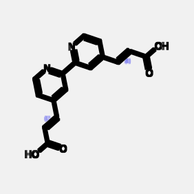 O=C(O)/C=C/c1ccnc(-c2cc(/C=C/C(=O)O)ccn2)c1